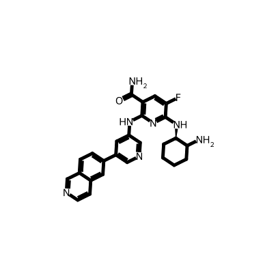 NC(=O)c1cc(F)c(N[C@@H]2CCCCC2N)nc1Nc1cncc(-c2ccc3cnccc3c2)c1